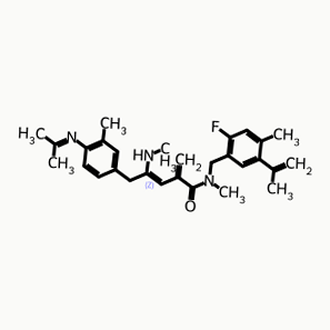 C=C(/C=C(/Cc1ccc(N=C(C)C)c(C)c1)NC)C(=O)N(C)Cc1cc(C(=C)C)c(C)cc1F